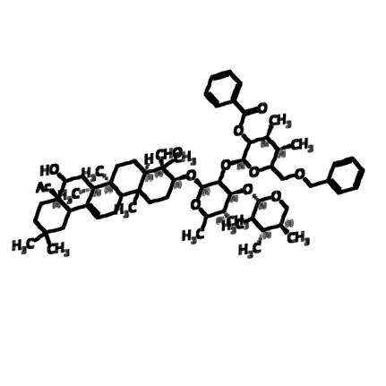 CC(=O)[C@]12CCC(C)(C)CC1C1=CCC3C4(C)CC[C@H](O[C@@H]5OC(C)[C@@H](C)[C@H](O[C@@H]6OC[C@@H](C)[C@H](C)C6C)C5O[C@@H]5OC(COCc6ccccc6)[C@H](C)[C@H](C)C5OC(=O)c5ccccc5)[C@](C)(C=O)[C@@H]4CC[C@]3(C)[C@]1(C)CC2O